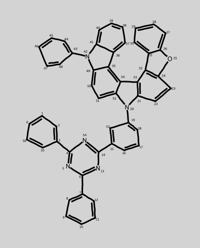 c1ccc(-c2nc(-c3ccccc3)nc(-c3cccc(-n4c5ccc6oc7ccccc7c6c5c5c6c7ccccc7n(-c7ccccc7)c6ccc54)c3)n2)cc1